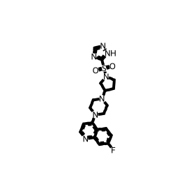 O=S(=O)(c1ncn[nH]1)N1CCC(N2CCN(c3ccnc4cc(F)ccc34)CC2)C1